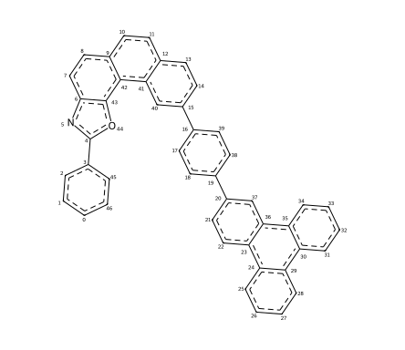 c1ccc(-c2nc3ccc4ccc5ccc(-c6ccc(-c7ccc8c9ccccc9c9ccccc9c8c7)cc6)cc5c4c3o2)cc1